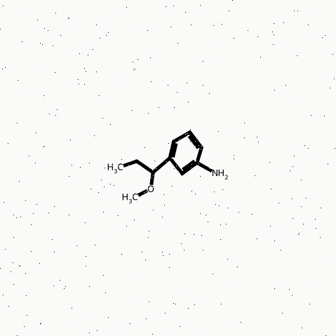 CCC(OC)c1cccc(N)c1